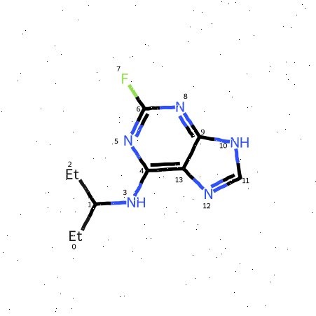 CCC(CC)Nc1nc(F)nc2[nH]cnc12